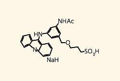 CC(=O)Nc1cc(COCCCS(=O)(=O)O)cc(Nc2c3ccccc3nc3ccccc23)c1.[NaH]